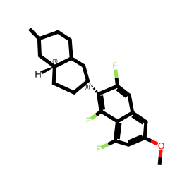 COc1cc(F)c2c(F)c([C@@H]3CC[C@@H]4CC(C)CCC4C3)c(F)cc2c1